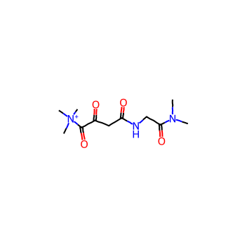 CN(C)C(=O)CNC(=O)CC(=O)C(=O)[N+](C)(C)C